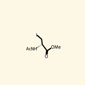 COC(=O)[C@@H](CI)NC(C)=O